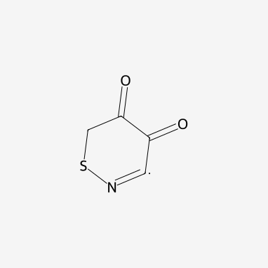 O=C1[C]=NSCC1=O